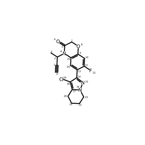 C#CC(C)N1C(=O)COc2cc(F)c(-c3nn4c(c3Cl)CCCC4)cc21